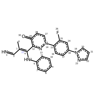 C/C(C=N)=C(/Nc1ccccc1)c1nn(-c2ccc(-n3cccn3)cc2F)ccc1=O